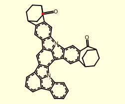 O=C1c2cc3c(cc2C2CCC1CC2)c1cc2c4cccc5c6ccccc6n(c54)c2c2c4cc5c(cc4n3c12)C(=O)C1CCC5CC1